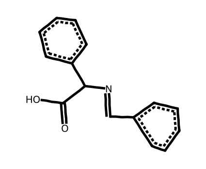 O=C(O)C(N=Cc1ccccc1)c1ccccc1